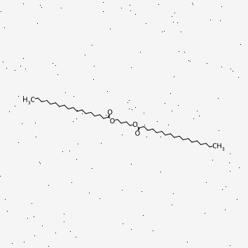 CCCCCCCCCCCCCCCCCC(=O)OCCCCOC(=O)CCCCCCCCCCCCCCCCC